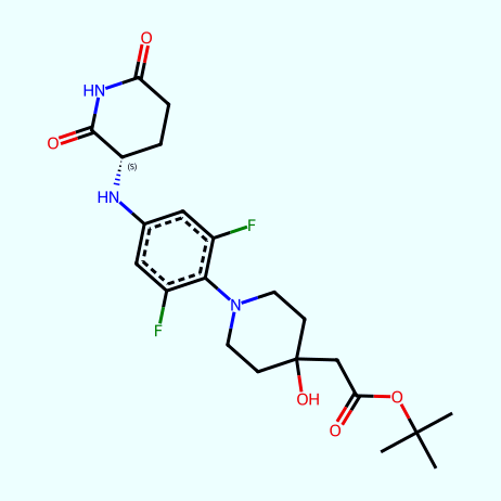 CC(C)(C)OC(=O)CC1(O)CCN(c2c(F)cc(N[C@H]3CCC(=O)NC3=O)cc2F)CC1